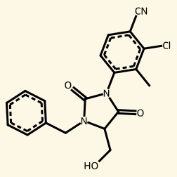 Cc1c(N2C(=O)C(CO)N(Cc3ccccc3)C2=O)ccc(C#N)c1Cl